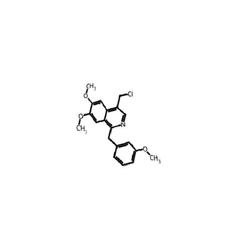 COc1cccc(Cc2ncc(CCl)c3cc(OC)c(OC)cc23)c1